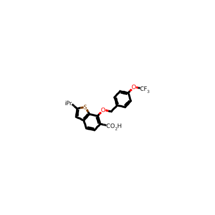 CC(C)c1cc2ccc(C(=O)O)c(OCc3ccc(OC(F)(F)F)cc3)c2s1